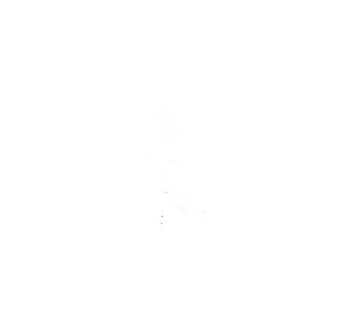 C=CC1=CC(=O)CC[C@@]1(C)C1CC[C@@]2(C)C(CC[C@@H]2[C@H](C)C=O)C1C